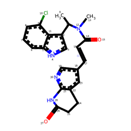 CC(c1c[nH]c2cccc(Cl)c12)N(C)C(=O)/C=C/c1cnc2c(c1)CCC(=O)N2